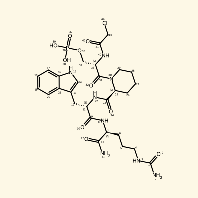 NC(=O)NCCC[C@H](NC(=O)[C@H](Cc1c[nH]c2ccccc12)NC(=O)[C@@H]1CCCCN1C(=O)[C@H](COP(=O)(O)O)NC(=O)CCl)C(N)=O